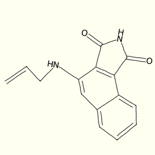 C=CCNc1cc2ccccc2c2c1C(=O)NC2=O